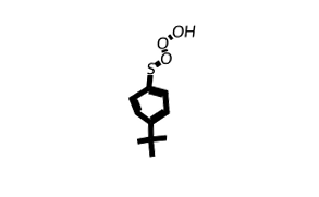 CC(C)(C)c1ccc(SOOO)cc1